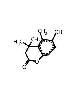 Cc1c(O)ccc2c1C(C)(C)CC(=O)O2